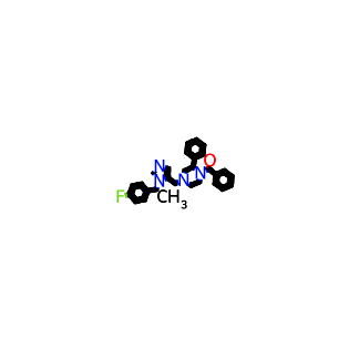 C[C@H](c1ccc(F)cc1)n1cncc1CN1CCN(C(=O)c2ccccc2)C(c2ccccc2)C1